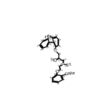 CCN(CCOc1ccccc1OC)CC(O)COc1cccc2[nH]c3ccccc3c12